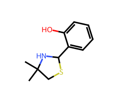 CC1(C)CSC(c2ccccc2O)N1